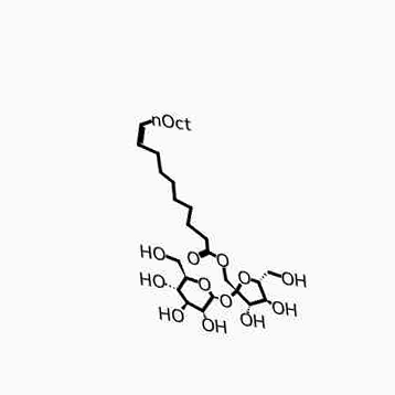 CCCCCCCC/C=C\CCCCCCCC(=O)OC[C@@]1(O[C@H]2O[C@H](CO)[C@@H](O)[C@H](O)[C@H]2O)O[C@H](CO)[C@@H](O)[C@@H]1O